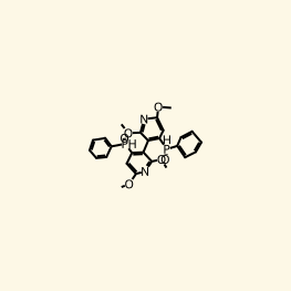 COc1cc([PH](=O)c2ccccc2)c(-c2c([PH](=O)c3ccccc3)cc(OC)nc2OC)c(OC)n1